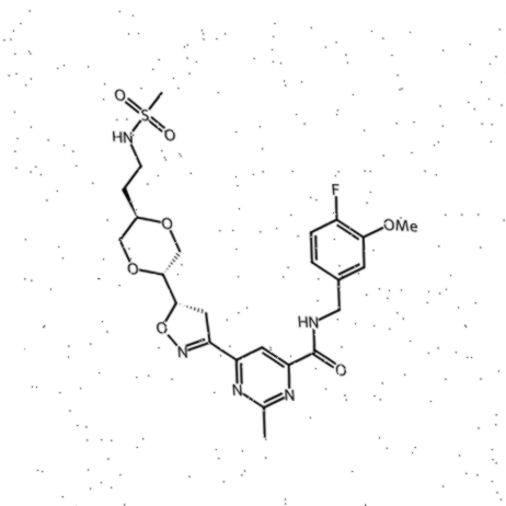 COc1cc(CNC(=O)c2cc(C3=NO[C@H]([C@H]4CO[C@H](CCNS(C)(=O)=O)CO4)C3)nc(C)n2)ccc1F